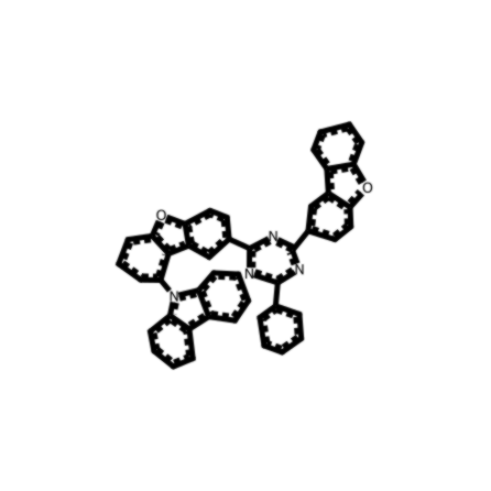 c1ccc(-c2nc(-c3ccc4oc5ccccc5c4c3)nc(-c3ccc4oc5cccc(-n6c7ccccc7c7ccccc76)c5c4c3)n2)cc1